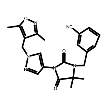 Cc1noc(C)c1Cn1cc(N2C(=O)N(Cc3cccc(C#N)c3)C(C)(C)C2=O)cn1